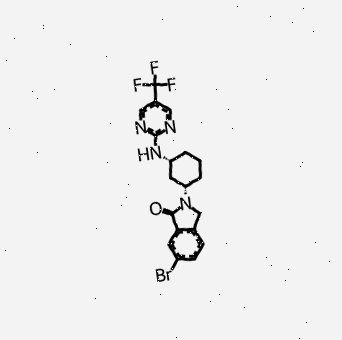 O=C1c2cc(Br)ccc2CN1[C@H]1CCC[C@@H](Nc2ncc(C(F)(F)F)cn2)C1